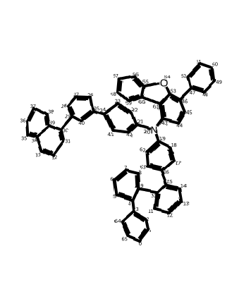 c1ccc(-c2ccccc2-c2ccccc2-c2ccc(N(c3ccc(-c4cccc(-c5cccc6ccccc56)c4)cc3)c3ccc(-c4ccccc4)c4oc5ccccc5c34)cc2)cc1